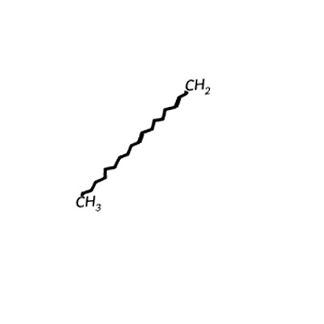 C=CC=CCCCCC=CCCCCCCCCCC